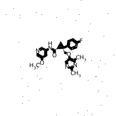 COc1cncc(NC(=O)[C@@H]2C[C@@]2(COc2cnc(C)nc2C)c2ccc(F)cc2)c1